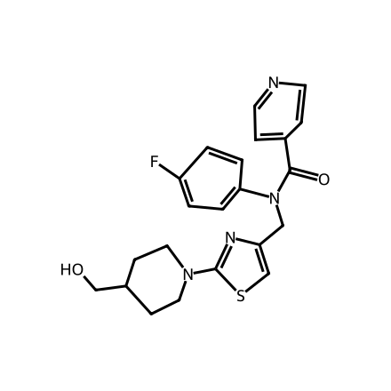 O=C(c1ccncc1)N(Cc1csc(N2CCC(CO)CC2)n1)c1ccc(F)cc1